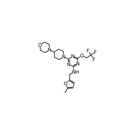 Cc1ccc(CNc2nc(OCC(F)(F)F)nc(N3CCC(N4CCOCC4)CC3)n2)o1